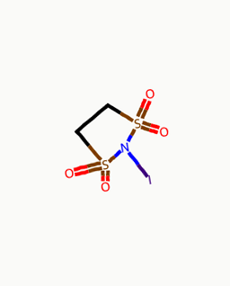 O=S1(=O)CCS(=O)(=O)N1I